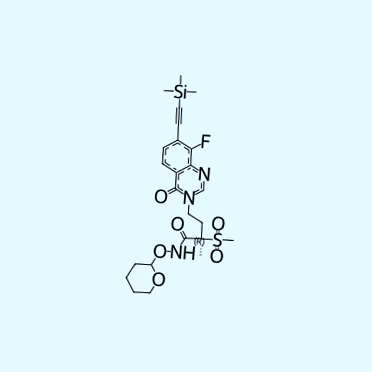 C[C@@](CCn1cnc2c(F)c(C#C[Si](C)(C)C)ccc2c1=O)(C(=O)NOC1CCCCO1)S(C)(=O)=O